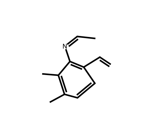 C=Cc1ccc(C)c(C)c1/N=C\C